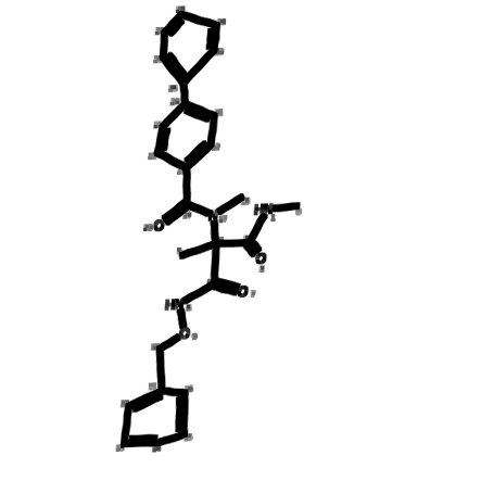 CNC(=O)C(C)(C(=O)NOCc1ccccc1)N(C)C(=O)c1ccc(-c2ccccc2)cc1